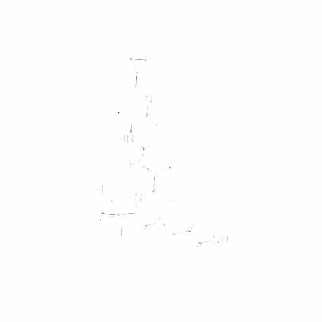 CN(CC1CC1)C(=O)[C@@H](NC(=O)N[C@H](C(=O)N1C[C@H]2[C@@H]([C@H]1C(=O)NCC(=O)C(N)=O)C2(C)C)C(C)(C)C)C(C)(C)C